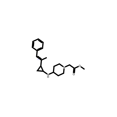 COC(=O)CN1CCC(NC2CC2/C(C)=C/c2ccccc2)CC1